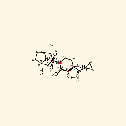 NC1CCN(S(=O)(=O)N2[C@@H]3CC[C@H]2CC(NC(=O)c2cc(C4CC4)no2)C3)CC1